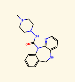 CN1CCN(NC(=O)N2c3ccccc3CNc3cccnc32)CC1